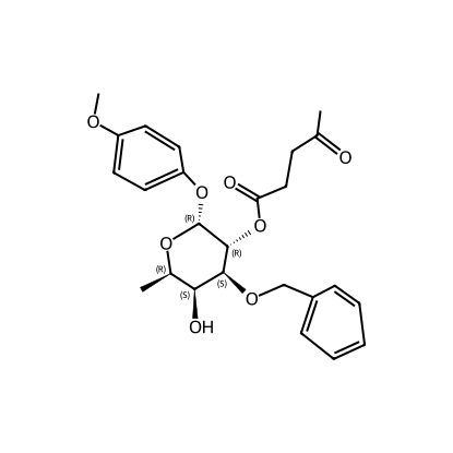 COc1ccc(O[C@H]2O[C@H](C)[C@H](O)[C@H](OCc3ccccc3)[C@H]2OC(=O)CCC(C)=O)cc1